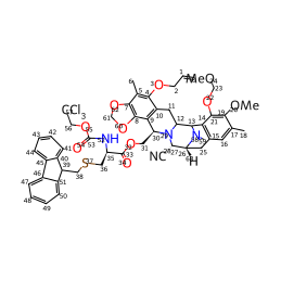 C=CCOc1c(C)c2c(c3c1CC1C4c5c(cc(C)c(OC)c5OCOC)C[C@H]([C@H](C#N)N1[C@H]3COC(=O)[C@@H](CSCC1c3ccccc3-c3ccccc31)NC(=O)OCC(Cl)(Cl)Cl)N4C)OCO2